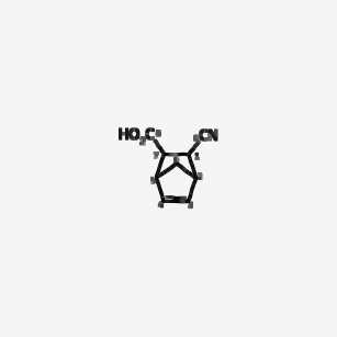 N#CC1C2C=CC(C2)C1C(=O)O